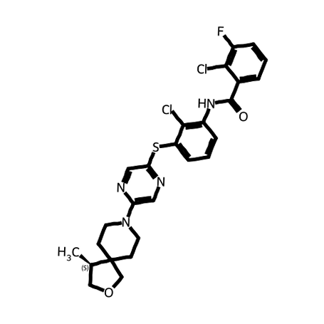 C[C@@H]1COCC12CCN(c1cnc(Sc3cccc(NC(=O)c4cccc(F)c4Cl)c3Cl)cn1)CC2